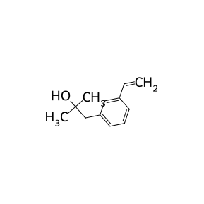 C=Cc1cccc(CC(C)(C)O)c1